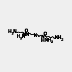 NCCCCC(N)C(=O)NCCC[N]CCCNC(=O)C(N)CCCCN